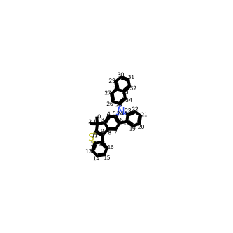 CC1(C)c2cc3c(cc2-c2c1sc1ccccc21)c1ccccc1n3-c1ccc2ccccc2c1